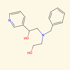 OCCN(Cc1ccccc1)CC(O)c1cccnc1